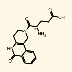 N[C@H](CCC(=O)O)C(=O)N1CCc2[nH]c(=O)c3ccccc3c2C1